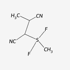 CC(C#N)C(C#N)S(C)(F)F